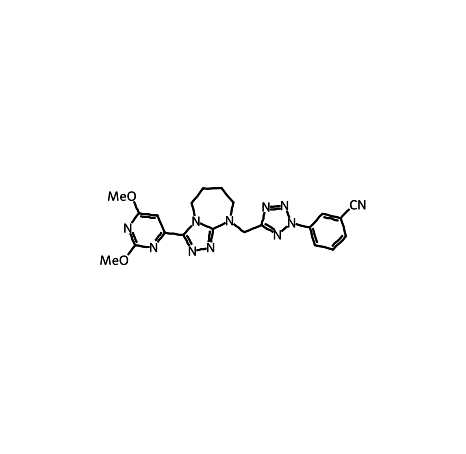 COc1cc(-c2nnc3n2CCCCN3Cc2nnn(-c3cccc(C#N)c3)n2)nc(OC)n1